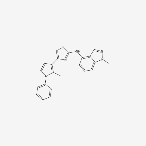 Cc1c(-c2csc(Nc3cccc4c3cnn4C)n2)cnn1-c1ccccc1